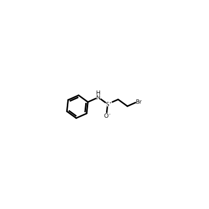 [O-][S+](CCBr)Nc1ccccc1